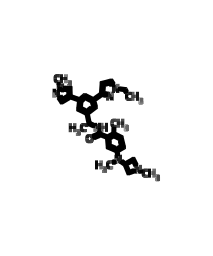 CCn1ccc(-c2cc(-c3cnn(C)c3)cc([C@@H](C)NC(=O)c3cc(N(C)C4CN(C)C4)ccc3C)c2)n1